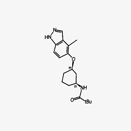 Cc1c(O[C@@H]2CCC[C@H](NC(=O)C(C)(C)C)C2)ccc2[nH]ncc12